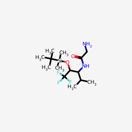 CC(C)C(NC(=O)CN)C(O[Si](C)(C)C(C)(C)C)C(F)(F)F